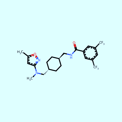 Cc1cc(N(C)C[C@H]2CC[C@H](CNC(=O)c3cc(C(F)(F)F)cc(C(F)(F)F)c3)CC2)no1